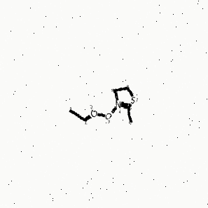 CCOO[N+]1=C(C)SCC1